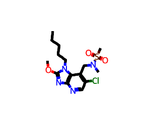 CCCCCn1c(OC)nc2ncc(Cl)c(CN(C)S(C)(=O)=O)c21